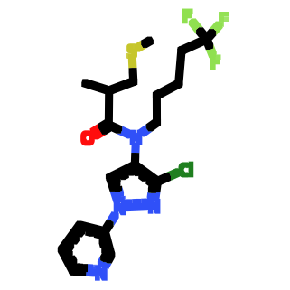 CSCC(C)C(=O)N(CCCCC(F)(F)F)c1cn(-c2cccnc2)nc1Cl